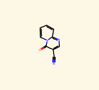 N#Cc1cnc2ccccn2c1=O